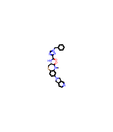 CN1C(=O)[C@@H](NC(=O)c2ncn(Cc3ccccc3)n2)CSc2ccc(N3Cc4ccncc4C3)cc21